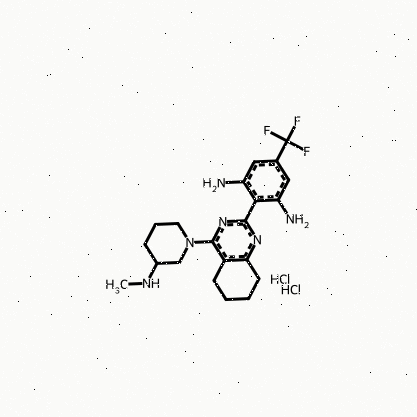 CNC1CCCN(c2nc(-c3c(N)cc(C(F)(F)F)cc3N)nc3c2CCCC3)C1.Cl.Cl